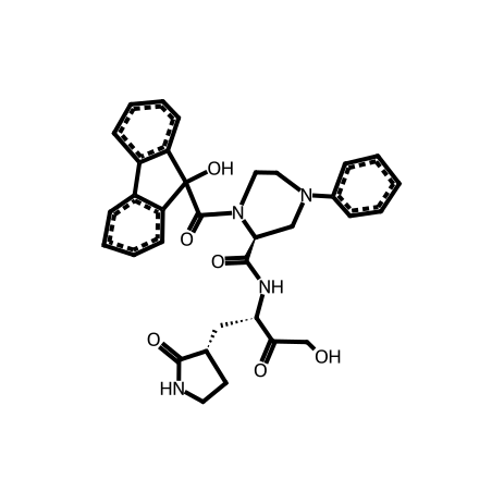 O=C1NCC[C@H]1C[C@H](NC(=O)[C@@H]1CN(c2ccccc2)CCN1C(=O)C1(O)c2ccccc2-c2ccccc21)C(=O)CO